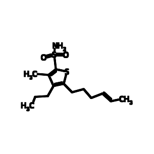 C/C=C/CCCc1sc(S(N)(=O)=O)c(C)c1CCC